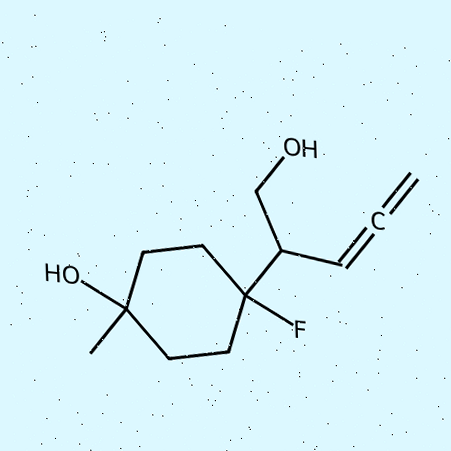 C=C=CC(CO)C1(F)CCC(C)(O)CC1